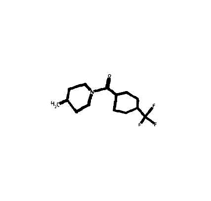 [CH2]C1CCN(C(=O)C2CCC(C(F)(F)F)CC2)CC1